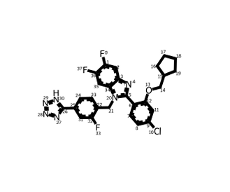 Fc1cc2nc(-c3ccc(Cl)cc3OCC3CCCC3)n(Cc3ccc(-c4nnn[nH]4)cc3F)c2cc1F